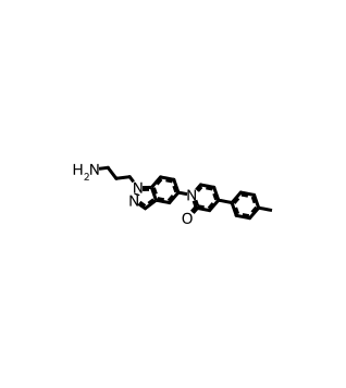 Cc1ccc(-c2ccn(-c3ccc4c(cnn4CCCN)c3)c(=O)c2)cc1